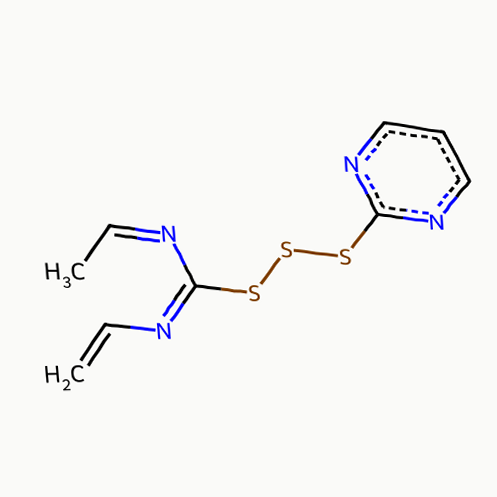 C=C/N=C(\N=C/C)SSSc1ncccn1